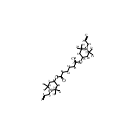 C=CCN1C(C)(C)CC(OC(=O)CCCCC(=O)OC2CC(C)(C)N(CC=C)C(C)(C)C2)CC1(C)C